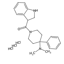 CN(C)C1(c2ccccc2)CCN(C(=O)C2CNc3ccccc32)CC1.Cl.Cl.Cl